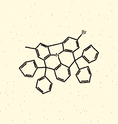 Cc1cc2c3c(c1)c1cc(Br)cc4c1n3-c1c(cccc1C4(c1ccccc1)c1ccccc1)C2(c1ccccc1)c1ccccc1